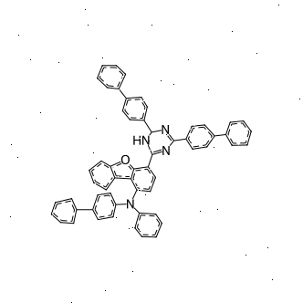 c1ccc(-c2ccc(C3=NC(c4ccc(-c5ccccc5)cc4)NC(c4ccc(N(c5ccccc5)c5ccc(-c6ccccc6)cc5)c5c4oc4ccccc45)=N3)cc2)cc1